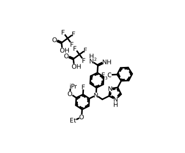 CCOc1cc(OC(C)C)c(F)c(N(Cc2nc(-c3ccccc3C(F)(F)F)c[nH]2)c2ccc(C(=N)N)cc2)c1.O=C(O)C(F)(F)F.O=C(O)C(F)(F)F